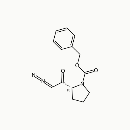 [N-]=[N+]=CC(=O)[C@H]1CCCN1C(=O)OCc1ccccc1